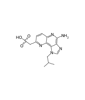 CC(C)Cn1cnc2c(N)nc3ccc(CS(=O)(=O)O)nc3c21